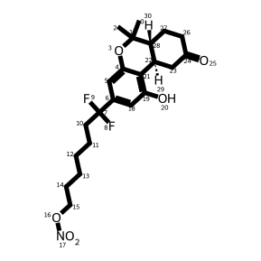 CC1(C)Oc2cc(C(F)(F)CCCCCCO[N+](=O)[O-])cc(O)c2[C@@H]2CC(=O)CC[C@H]21